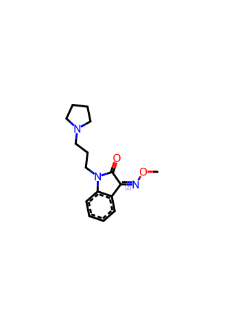 CO/N=C1\C(=O)N(CCCN2CCCC2)c2ccccc21